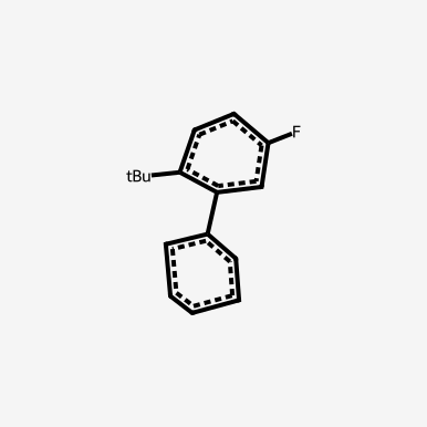 CC(C)(C)c1ccc(F)cc1-c1ccccc1